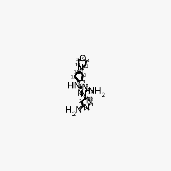 Nc1cc(-n2nc(Nc3ccc(N4CCOCC4)cc3)nc2N)ncn1